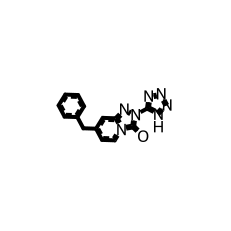 O=c1n(-c2nnn[nH]2)nc2cc(Cc3ccccc3)ccn12